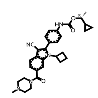 C[C@@H](OC(=O)Nc1ccc(-c2c(C#N)c3ccc(C(=O)N4CCN(C)CC4)cc3n2C2CCC2)cc1)C1CC1